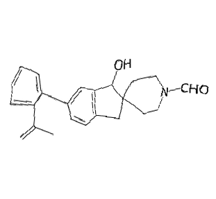 C=C(C)c1ccccc1-c1ccc2c(c1)C(O)C1(CCN(C=O)CC1)C2